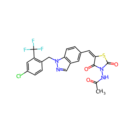 CC(=O)NN1C(=O)SC(=Cc2ccc3c(cnn3Cc3ccc(Cl)cc3C(F)(F)F)c2)C1=O